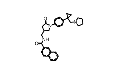 O=C(NCC1CC(=O)N(c2ccc(C3(CN4CCCC4)CC3)cc2)C1)c1ccc2ccccc2c1